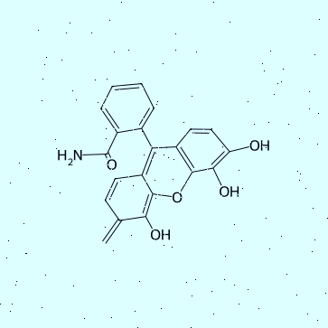 C=c1ccc2c(c1O)Oc1c(ccc(O)c1O)C=2c1ccccc1C(N)=O